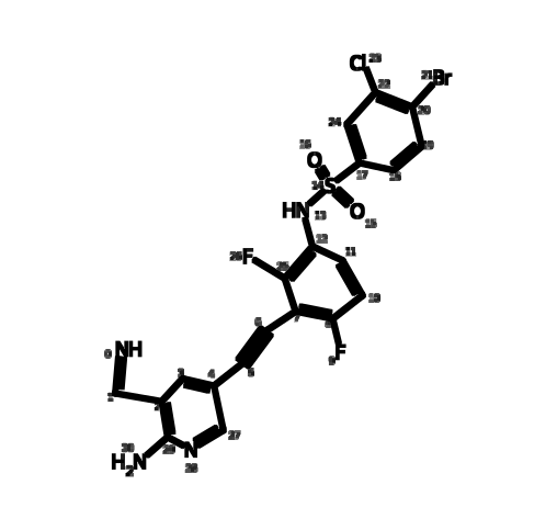 N=Cc1cc(C#Cc2c(F)ccc(NS(=O)(=O)c3ccc(Br)c(Cl)c3)c2F)cnc1N